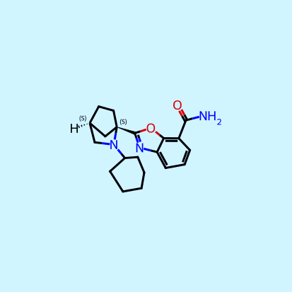 NC(=O)c1cccc2nc([C@@]34CC[C@H](CN3C3CCCCC3)C4)oc12